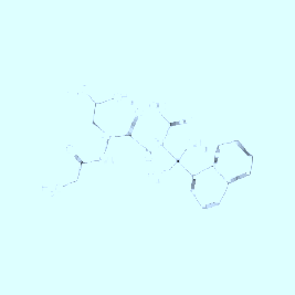 CCC(=O)N[C@@H](CC(C)C)C(=O)N[C@H](C(=O)O)C(C)(C)c1cccc2ccccc12